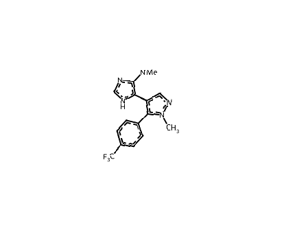 CNc1nc[nH]c1-c1cnn(C)c1-c1ccc(C(F)(F)F)cc1